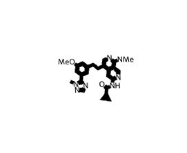 CNc1ncc(CCc2cc(OC)cc(-c3ncnn3C)c2)c2cc(NC(=O)C3CC3)ncc12